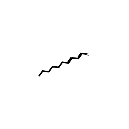 CCCCCCC=CC=C[O]